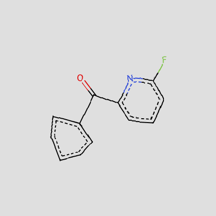 O=C(c1ccccc1)c1cccc(F)n1